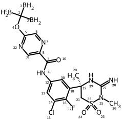 BC(B)(B)Oc1cnc(C(=O)Nc2cc(Cl)c(F)c([C@]3(C)CS(=O)(=O)N(C)C(=N)N3)c2)cn1